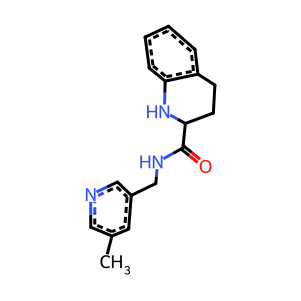 Cc1cncc(CNC(=O)C2CCc3ccccc3N2)c1